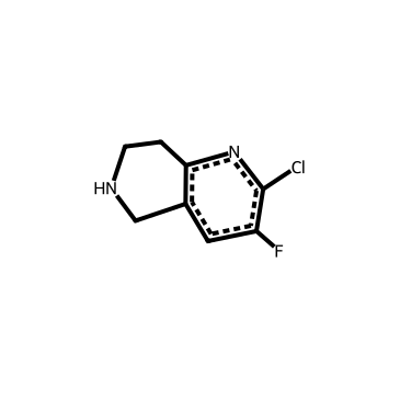 Fc1cc2c(nc1Cl)CCNC2